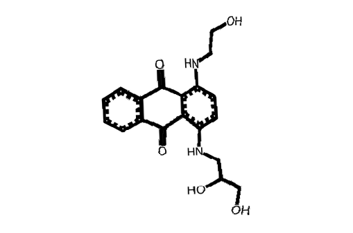 O=C1c2ccccc2C(=O)c2c(NCC(O)CO)ccc(NCCO)c21